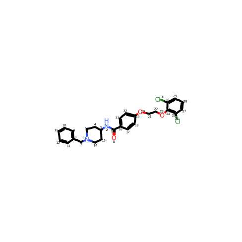 O=C(NC1CCN(Cc2ccccc2)CC1)c1ccc(OCCOc2c(Cl)cccc2Cl)cc1